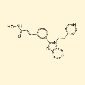 O=C(C=Cc1cccc(-c2nc3ccccc3n2CCc2ccncc2)c1)NO